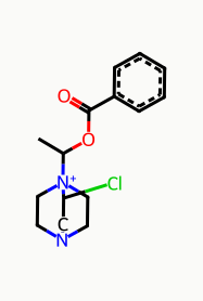 CC(OC(=O)c1ccccc1)[N+]12CCN(CC1)CC2Cl